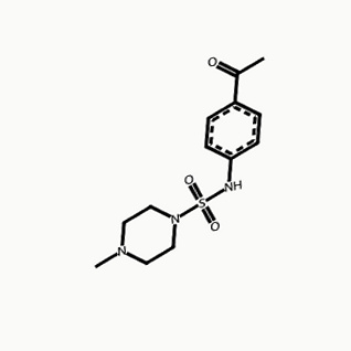 CC(=O)c1ccc(NS(=O)(=O)N2CCN(C)CC2)cc1